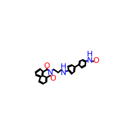 O=CNc1ccc(-c2ccc(NCCCN3C(=O)c4cccc5cccc(c45)C3=O)cc2)cc1